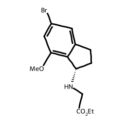 CCOC(=O)CN[C@H]1CCc2cc(Br)cc(OC)c21